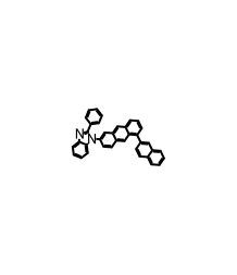 c1ccc(-c2nc3ccccc3n2-c2ccc3cc4c(-c5ccc6ccccc6c5)cccc4cc3c2)cc1